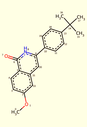 COc1ccc2c(=O)[nH]c(-c3ccc(C(C)(C)C)cc3)cc2c1